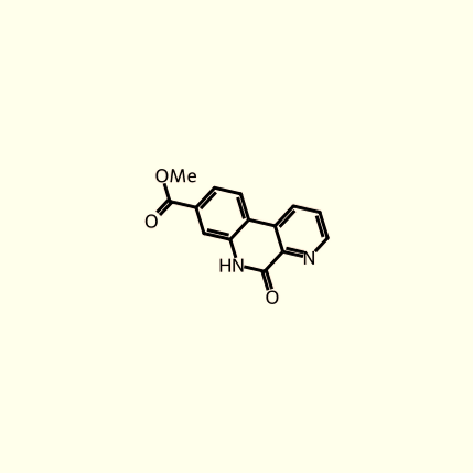 COC(=O)c1ccc2c(c1)[nH]c(=O)c1ncccc12